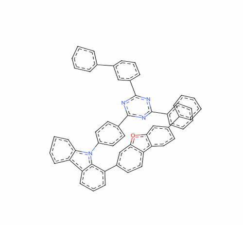 c1ccc(-c2cccc(-c3nc(-c4ccccc4)nc(-c4ccc(-n5c6ccccc6c6cccc(-c7ccc8c(c7)oc7cc(-c9ccccc9)ccc78)c65)cc4)n3)c2)cc1